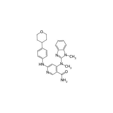 CN(c1cc(Nc2ccc(C3CCOCC3)cc2)ncc1C(N)=O)c1nc2ccccc2n1C